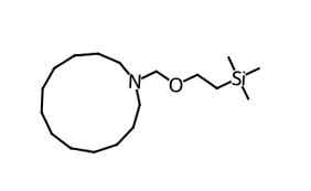 C[Si](C)(C)CCOCN1CCCCCCCCCCCC1